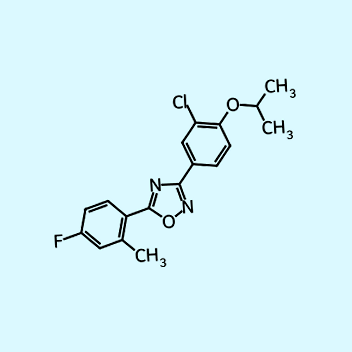 Cc1cc(F)ccc1-c1nc(-c2ccc(OC(C)C)c(Cl)c2)no1